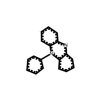 [c]1ccc2nc3ccccc3[n+](-c3ccccc3)c2c1